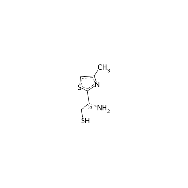 Cc1csc([C@H](N)CS)n1